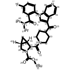 CC(C)N(C(=O)c1cc(F)ccc1-n1cc(C(=O)C2CCN(C(=O)[C@@H]3[C@H]4C[C@H]4CN3C(=O)OC(C)(C)C)CC2)c2ccncc21)C(C)C